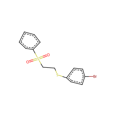 O=S(=O)(CCSc1ccc(Br)cc1)c1ccccc1